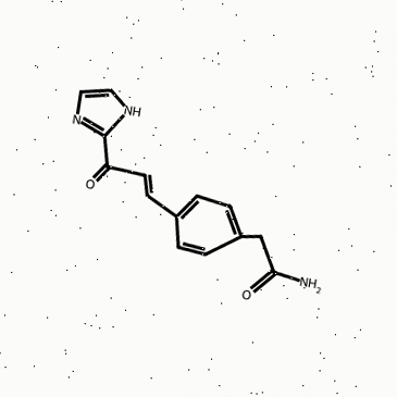 NC(=O)Cc1ccc(/C=C/C(=O)c2ncc[nH]2)cc1